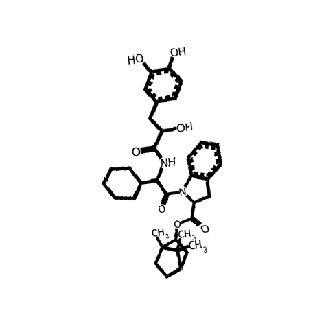 CC1(C)C2CCC1(C)C(OC(=O)C1Cc3ccccc3N1C(=O)C(NC(=O)C(O)Cc1ccc(O)c(O)c1)C1CCCCC1)C2